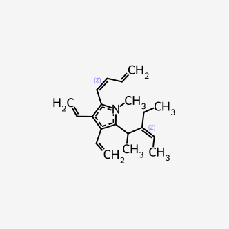 C=C/C=C\c1c(C=C)c(C=C)c(C(C)/C(=C\C)CC)n1C